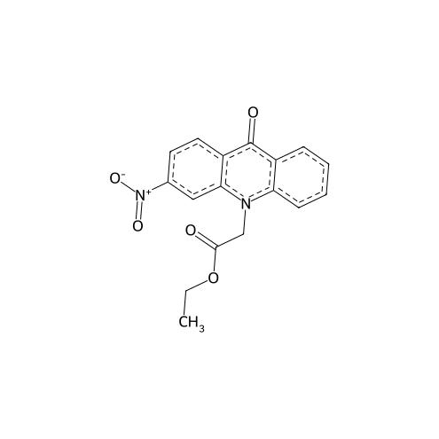 CCOC(=O)Cn1c2ccccc2c(=O)c2ccc([N+](=O)[O-])cc21